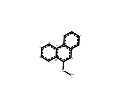 CC(C)Oc1cc2ccccc2c2ccccc12